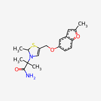 Cc1cc2cc(OCC3=CN(C(C)(C)C(N)=O)C(C)S3)ccc2o1